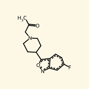 CC(=O)CN1CCC(c2onc3cc(F)ccc23)CC1